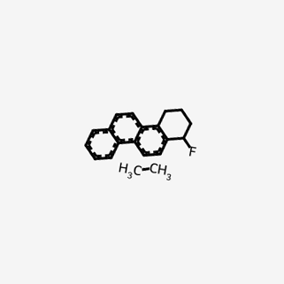 CC.FC1CCCc2c1ccc1c2ccc2ccccc21